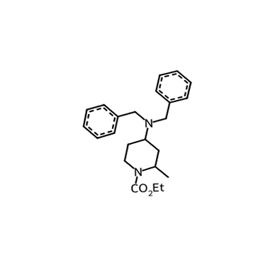 CCOC(=O)N1CCC(N(Cc2ccccc2)Cc2ccccc2)CC1C